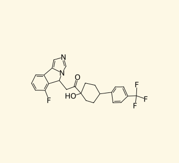 O=C(CC1c2c(F)cccc2-c2cncn21)C1(O)CCC(c2ccc(C(F)(F)F)cc2)CC1